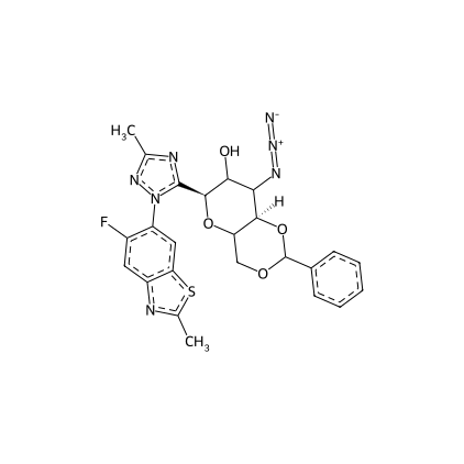 Cc1nc([C@@H]2OC3COC(c4ccccc4)O[C@@H]3C(N=[N+]=[N-])C2O)n(-c2cc3sc(C)nc3cc2F)n1